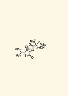 CCCC(C(C)C)C1OC(=O)C(OC(=O)C(CO)(CC(C)(C)C)C(C)(C)C)C1C